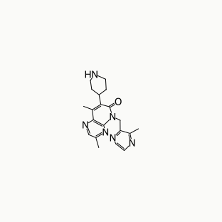 Cc1cnc2c(C)c(C3CCNCC3)c(=O)n(Cc3nccnc3C)c2n1